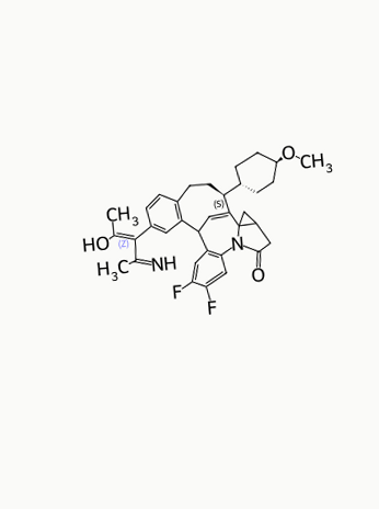 CO[C@H]1CC[C@H]([C@@H]2CCc3ccc(/C(C(C)=N)=C(\C)O)cc3C3C=C2C24CC2CC(=O)N4c2cc(F)c(F)cc23)CC1